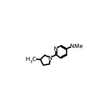 CNc1ccc(N2CCC(C)C2)nc1